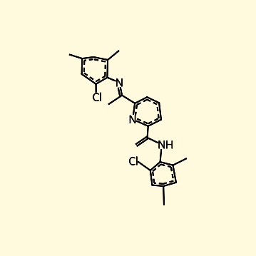 C=C(Nc1c(C)cc(C)cc1Cl)c1cccc(/C(C)=N/c2c(C)cc(C)cc2Cl)n1